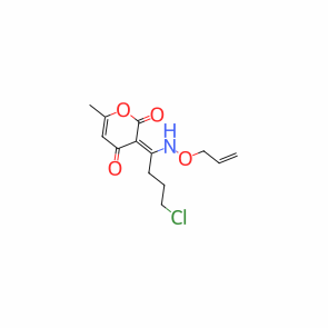 C=CCONC(CCCCl)=C1C(=O)C=C(C)OC1=O